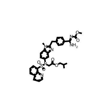 COC(=O)N=C(N)c1ccc(Cc2nc3cc(N(CC(=O)OCC(C)C)S(=O)(=O)c4cccc5cccnc45)ccc3n2C)cc1